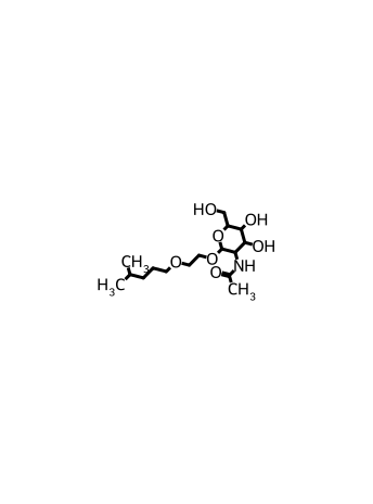 CC(=O)NC1C(OCCOCCCC(C)C)OC(CO)C(O)C1O